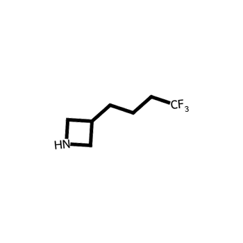 FC(F)(F)CCCC1CNC1